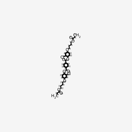 C=CC(=O)OCCCCOc1ccc(OC(=O)c2ccc(C(=O)Oc3ccc(OCCCCOC(=O)C=C)cc3Cl)cc2)c(Cl)c1